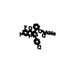 CNC(=O)COc1ccccc1C1SC(c2ccc(Cl)cc2)=NN1C(=O)c1c(F)cc(F)cc1F